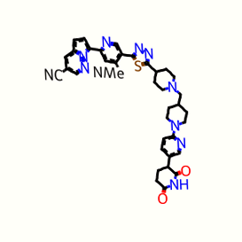 CNc1cc(-c2ccc3cc(C#N)cnn23)ncc1-c1nnc(C2CCN(CC3CCN(c4ccc(C5CCC(=O)NC5=O)cn4)CC3)CC2)s1